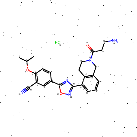 CC(C)Oc1ccc(-c2nc(-c3cccc4c3CCN(C(=O)CCN)C4)no2)cc1C#N.Cl